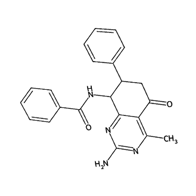 Cc1nc(N)nc2c1C(=O)CC(c1ccccc1)C2NC(=O)c1ccccc1